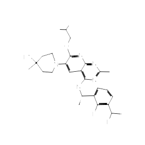 Cc1nc(N[C@H](C)c2cccc(C(F)F)c2F)c2cc(N3CCC(C)(N)CC3)c(OCC(F)F)nc2n1